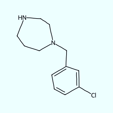 Clc1cccc(CN2CCCNCC2)c1